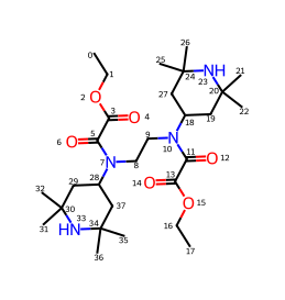 CCOC(=O)C(=O)N(CCN(C(=O)C(=O)OCC)C1CC(C)(C)NC(C)(C)C1)C1CC(C)(C)NC(C)(C)C1